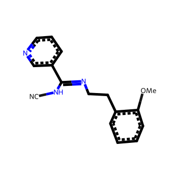 COc1ccccc1CC/N=C(\NC#N)c1cccnc1